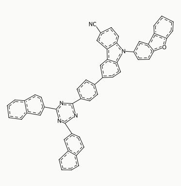 N#Cc1ccc2c(c1)c1cc(-c3ccc(-c4nc(-c5ccc6ccccc6c5)nc(-c5ccc6ccccc6c5)n4)cc3)ccc1n2-c1ccc2oc3ccccc3c2c1